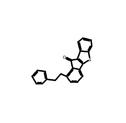 O=C1c2c(CCc3ccccc3)cccc2-c2sc3ccccc3c21